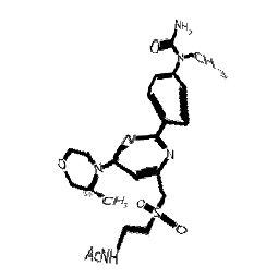 CC(=O)NCCS(=O)(=O)Cc1cc(N2CCOC[C@@H]2C)nc(-c2ccc(N(C)C(N)=O)cc2)n1